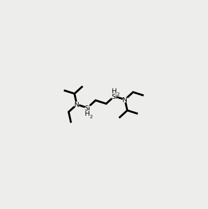 CCN([SiH2]CC[SiH2]N(CC)C(C)C)C(C)C